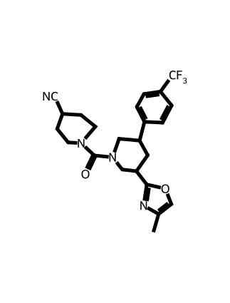 Cc1coc(C2CC(c3ccc(C(F)(F)F)cc3)CN(C(=O)N3CCC(C#N)CC3)C2)n1